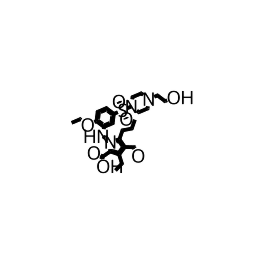 CCCc1c(C=O)c(CC)c(C(=O)O)n1Nc1cc(S(=O)(=O)N2CCN(CCO)CC2)ccc1OCC